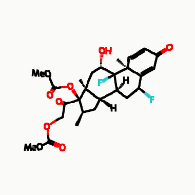 COC(=O)OCC(=O)[C@@]1(OC(=O)OC)[C@H](C)C[C@H]2[C@@H]3C[C@H](F)C4=CC(=O)C=C[C@]4(C)[C@@]3(F)[C@@H](O)C[C@@]21C